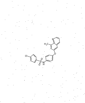 Cc1cc(Oc2ccc(NS(=O)(=O)c3ccc(Cl)cc3)cc2)cc2cccnc12